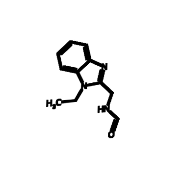 CCn1c(CNC=O)nc2ccccc21